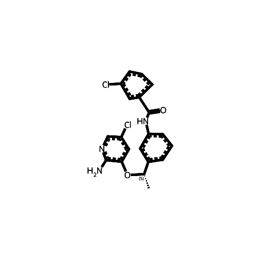 C[C@H](Oc1cc(Cl)cnc1N)c1cccc(NC(=O)c2cccc(Cl)c2)c1